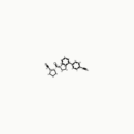 N#Cc1ccc(-c2cccc3c2CCN3C(=O)[C@@H]2CCCN2C#N)cc1